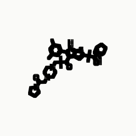 Cc1cc(C)cc(-c2[nH]c3sc(C(C)(C)C(=O)C4C5CCC4NC5)cc3c2C(=O)C(C)(C)CN2CCN(CC(=O)N3CCCC3)CC2)c1